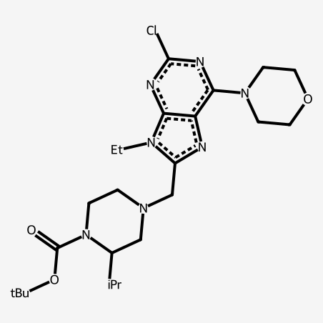 CCn1c(CN2CCN(C(=O)OC(C)(C)C)C(C(C)C)C2)nc2c(N3CCOCC3)nc(Cl)nc21